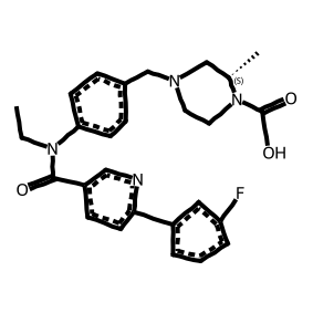 CCN(C(=O)c1ccc(-c2cccc(F)c2)nc1)c1ccc(CN2CCN(C(=O)O)[C@@H](C)C2)cc1